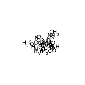 COc1ccc(C(OC[C@@]23CN(c4nc(C)ns4)[C@@H]([C@H](n4cc(C)c(=O)[nH]c4=O)O2)[C@@H]3OP(OCCC#N)N(C(C)C)C(C)C)(c2ccccc2)c2ccc(OC)cc2)cc1